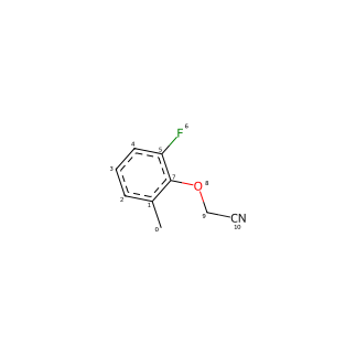 Cc1cccc(F)c1OCC#N